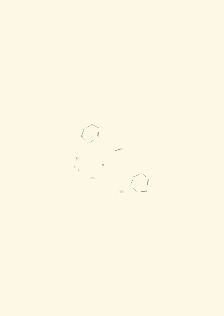 CCOC(=O)CCc1cc(F)c(Cl)cc1[C@@H](C)OC[C@H](O)CN1CCC[C@H]1Cc1ccc(C)c(F)c1